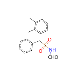 Cc1ccccc1C.O=CNS(=O)(=O)Cc1ccccc1